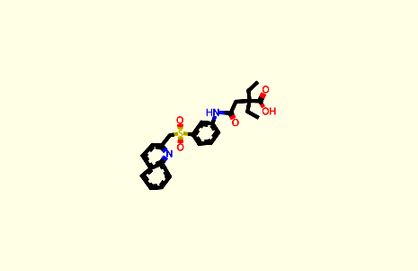 CCC(CC)(CC(=O)Nc1cccc(S(=O)(=O)Cc2ccc3ccccc3n2)c1)C(=O)O